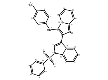 Cc1ccc(Nc2c(-c3cn(S(=O)(=O)c4ccccc4)c4ccccc34)nc3ccccn23)cc1